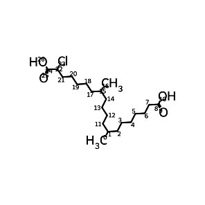 CC(CCCCCCC(=O)O)CCCCC(C)CCCCCC(Cl)C(=O)O